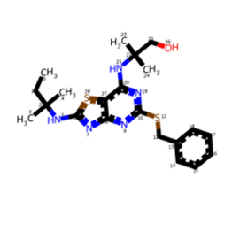 CCC(C)(C)Nc1nc2nc(SCc3ccccc3)nc(NC(C)(C)CO)c2s1